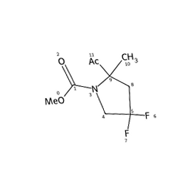 COC(=O)N1CC(F)(F)CC1(C)C(C)=O